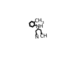 C#CCC(CC#N)Nc1ccccc1C